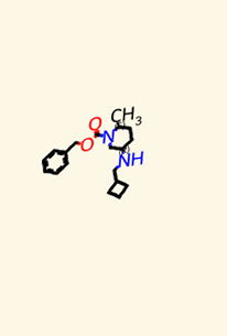 C[C@H]1CC[C@@H](NCC2CCC2)CN1C(=O)OCc1ccccc1